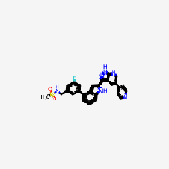 CS(=O)(=O)NCc1cc(F)cc(-c2cccc3[nH]c(-c4n[nH]c5ncc(-c6ccncc6)cc45)cc23)c1